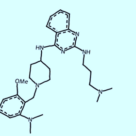 COc1cccc(N(C)C)c1CN1CCC(Nc2nc(NCCCN(C)C)nc3ccccc23)CC1